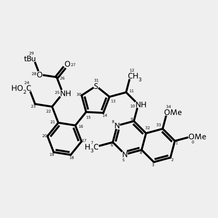 COc1ccc2nc(C)nc(NC(C)c3cc(-c4ccccc4C(CC(=O)O)NC(=O)OC(C)(C)C)cs3)c2c1OC